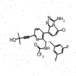 CC(C)(O)C#Cc1ccc(-c2ccc(Cl)n3c(N)nnc23)c([C@H](Cc2cc(F)cc(F)c2)NC(=O)C(F)(F)F)n1